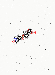 CCN1C(=O)CCc2cc(S(=O)(=O)c3cccc(C4(C)CC(O)CCO4)c3)ccc21